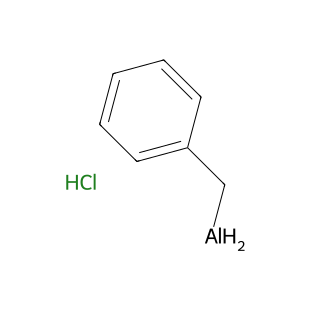 Cl.[AlH2][CH2]c1ccccc1